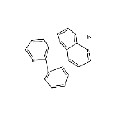 [Ir].c1ccc(-c2ccccn2)cc1.c1ccc2ncccc2c1